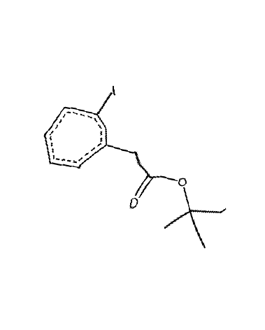 CC(C)(C)OC(=O)Cc1ccccc1I